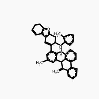 C=C1c2ccccc2-c2cccc3c2C1c1cc(C)cc(C2=Cc4c(oc5c4C=CCC5)CC2Nc2ccccc2C)c1B3